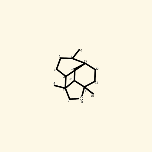 CC1CCC2C3(C)COC4(C)CCC12CC43